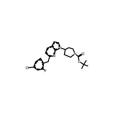 CC(C)(C)OC(=O)N1CCC(n2ccc3ccc(Cc4ccc(Cl)cc4F)nc32)CC1